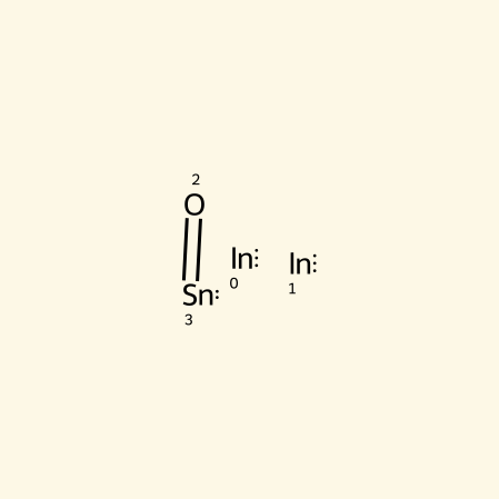 [In].[In].[O]=[Sn]